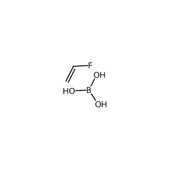 C=CF.OB(O)O